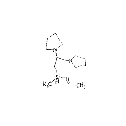 CC=C[SiH](C)CC(N1CCCC1)N1CCCC1